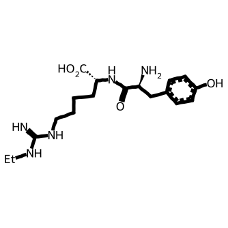 CCNC(=N)NCCCC[C@@H](NC(=O)[C@@H](N)Cc1ccc(O)cc1)C(=O)O